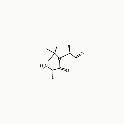 C[C@H](N)C(=O)N([C@@H](C)[C]=O)C(C)(C)C